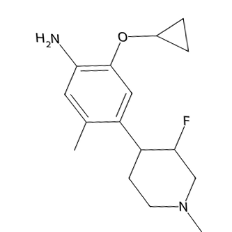 Cc1cc(N)c(OC2CC2)cc1C1CCN(C)CC1F